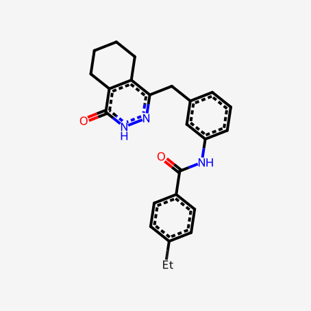 CCc1ccc(C(=O)Nc2cccc(Cc3n[nH]c(=O)c4c3CCCC4)c2)cc1